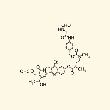 CCc1c2c(nc3ccc(OC(=O)N(C)CCN(C)C(=O)OCc4ccc(NC(=O)CNC=O)cc4)cc13)-c1cc(C(C)O)c(COC=O)c(=O)n1C2